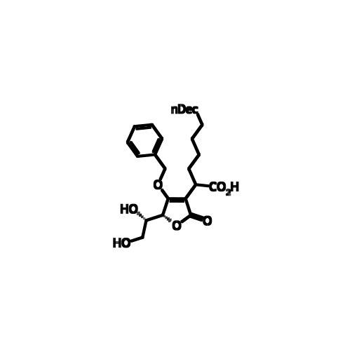 CCCCCCCCCCCCCCC(C(=O)O)C1=C(OCc2ccccc2)[C@@H]([C@@H](O)CO)OC1=O